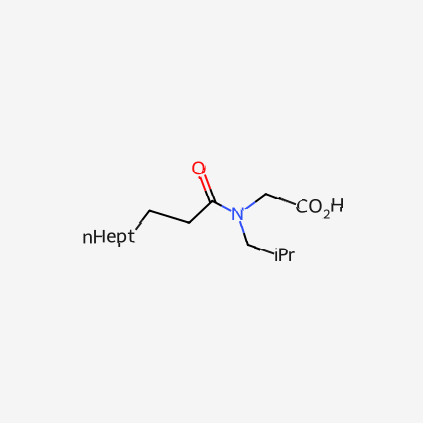 CCCCCCCCCC(=O)N(CC(=O)O)CC(C)C